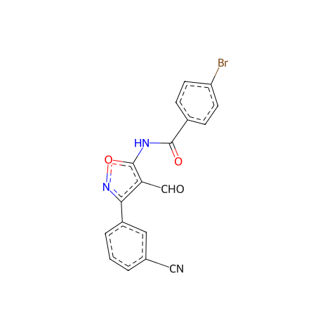 N#Cc1cccc(-c2noc(NC(=O)c3ccc(Br)cc3)c2C=O)c1